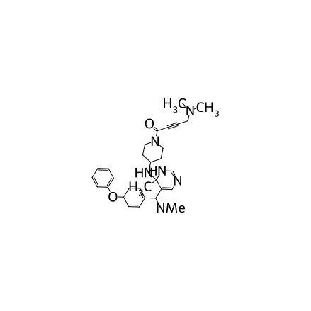 CNC(C1=CCC(Oc2ccccc2)C=C1)C1=CN=CNC1(C)NC1CCN(C(=O)C#CCN(C)C)CC1